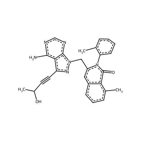 Cc1ccccc1-n1c(Cn2nc(C#CC(C)O)c3c(N)ncnc32)cc2cccc(C)c2c1=O